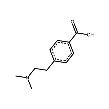 CN(C)CCc1ccc(C(=O)O)cc1